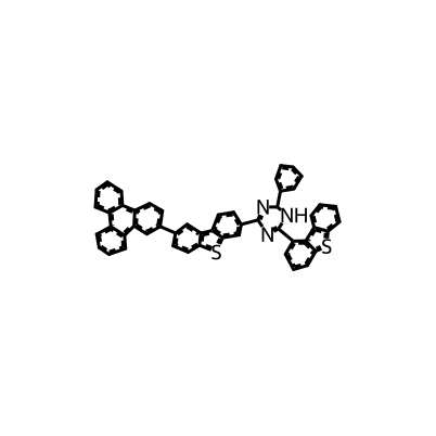 c1ccc(C2N=C(c3ccc4c(c3)sc3ccc(-c5ccc6c7ccccc7c7ccccc7c6c5)cc34)N=C(c3cccc4sc5ccccc5c34)N2)cc1